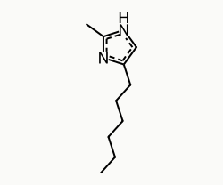 CCCCCCc1c[nH]c(C)n1